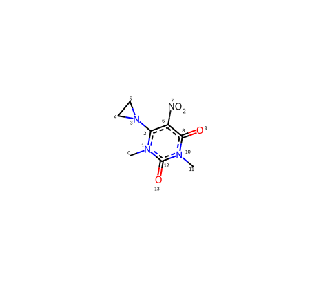 Cn1c(N2CC2)c([N+](=O)[O-])c(=O)n(C)c1=O